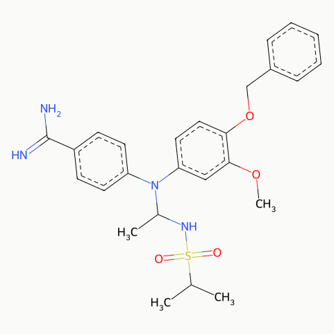 COc1cc(N(c2ccc(C(=N)N)cc2)C(C)NS(=O)(=O)C(C)C)ccc1OCc1ccccc1